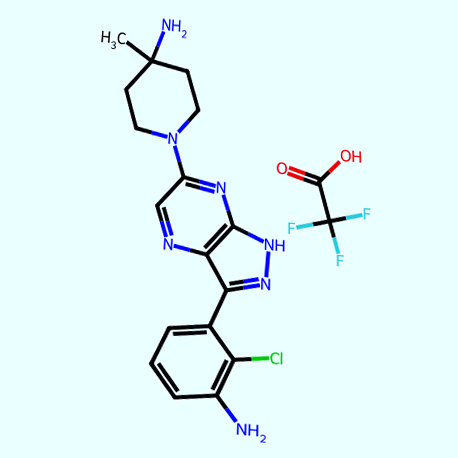 CC1(N)CCN(c2cnc3c(-c4cccc(N)c4Cl)n[nH]c3n2)CC1.O=C(O)C(F)(F)F